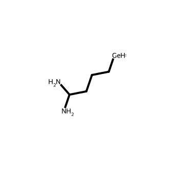 NC(N)CC[CH2][GeH]